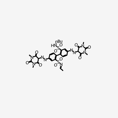 CC=NS(=O)(=O)c1cc(N=NC2C(=O)N(C)C(=O)N(C)C2=O)ccc1-c1ccc(N=NC2C(=O)N(C)C(=O)N(C)C2=O)cc1S(=O)(=O)NCCCC